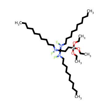 CCCCCCCCCCN(F)C(CC[Si](OCC)(OCC)OCC)(N(F)CCCCCCCCCC)N(F)CCCCCCCCCC